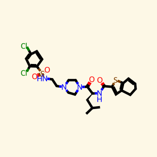 CC(C)C[C@H](NC(=O)c1cc2c(s1)C=CCC2)C(=O)N1CCN(CCNS(=O)(=O)c2ccc(Cl)cc2Cl)CC1